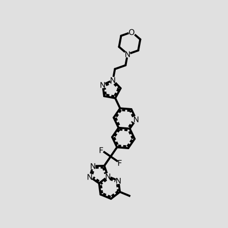 Cc1ccc2nnc(C(F)(F)c3ccc4ncc(-c5cnn(CCN6CCOCC6)c5)cc4c3)n2n1